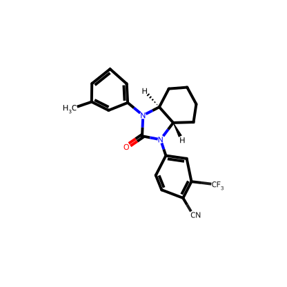 Cc1cccc(N2C(=O)N(c3ccc(C#N)c(C(F)(F)F)c3)[C@H]3CCCC[C@@H]32)c1